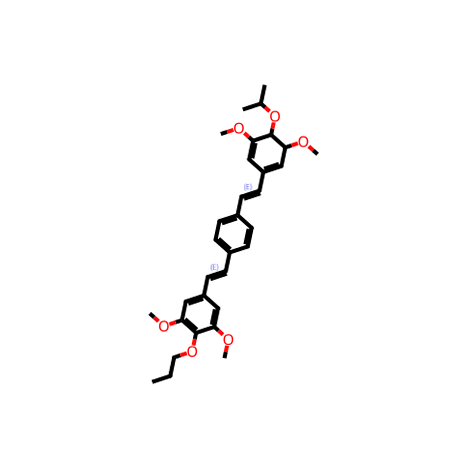 CCCOc1c(OC)cc(/C=C/c2ccc(/C=C/C3=CC(OC)C(OC(C)C)C(OC)=C3)cc2)cc1OC